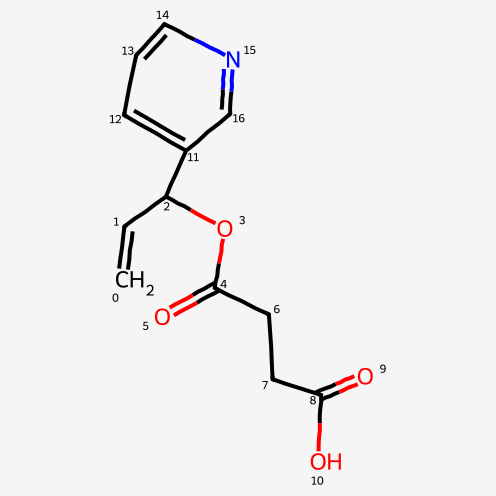 C=CC(OC(=O)CCC(=O)O)c1cccnc1